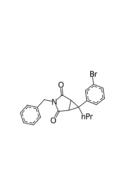 CCCC1(c2cccc(Br)c2)C2C(=O)N(Cc3ccccc3)C(=O)C21